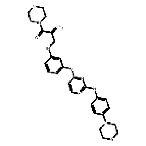 C=C(CNc1cccc(Sc2ccnc(Nc3ccc(N4CCOCC4)cc3)n2)c1)C(=O)N1CCOCC1